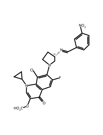 O=C(O)Oc1cn(C2CC2)c2c(Cl)c(N3CC[C@H](N=Cc4cccc([N+](=O)[O-])c4)C3)c(F)cc2c1=O